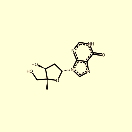 C[C@]1(CO)O[C@@H](n2cnc3c(=O)[nH]cnc32)C[C@@H]1O